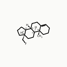 C[C@]12CCCC=C1CC[C@H]1[C@@H]3CCC[C@@]3(CF)CC[C@@H]12